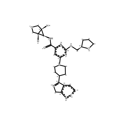 O=C(N[C@H]1[C@@H]2COC[C@@H]21)c1cc(N2CCC(C3=NCc4ncccc43)CC2)nc(OC[C@H]2CCCO2)n1